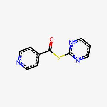 O=C(Sc1ncccn1)c1ccncc1